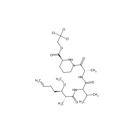 C=CCC[C@@H](OC)[C@@H](C)C(=O)NC(C(=O)N[C@@H](C)C(=O)N1CCC[C@@H](C(=O)OCC(Cl)(Cl)Cl)N1)C(C)C